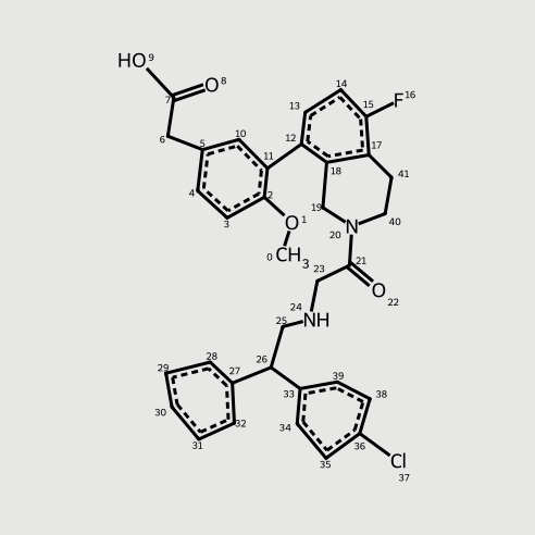 COc1ccc(CC(=O)O)cc1-c1ccc(F)c2c1CN(C(=O)CNCC(c1ccccc1)c1ccc(Cl)cc1)CC2